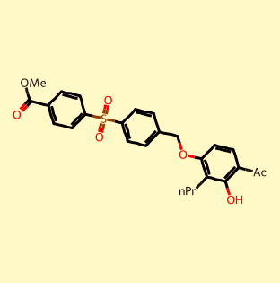 CCCc1c(OCc2ccc(S(=O)(=O)c3ccc(C(=O)OC)cc3)cc2)ccc(C(C)=O)c1O